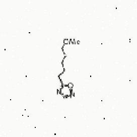 COCCCCCc1ncno1